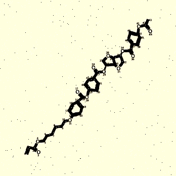 C=CC(=O)OCCCCCCOc1ccc(C(=O)Oc2ccc(C(=O)O[C@H]3COC4C3OC[C@@H]4OC(=O)c3ccc(OC(C)=O)cc3)cc2)cc1